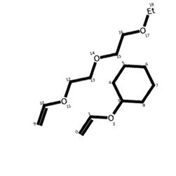 C=COC1CCCCC1.C=COCCOCCOCC